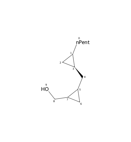 CCCCCC1C[C@@H]1CC1CC1CO